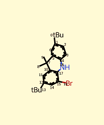 CC(C)(C)c1ccc2c(c1)C(C)(C)c1cc(C(C)(C)C)cc(Br)c1N2